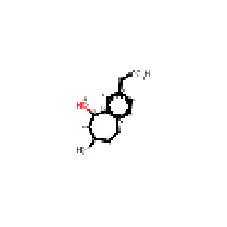 CC1CCc2ccc(CC(=O)O)cc2C(O)C1